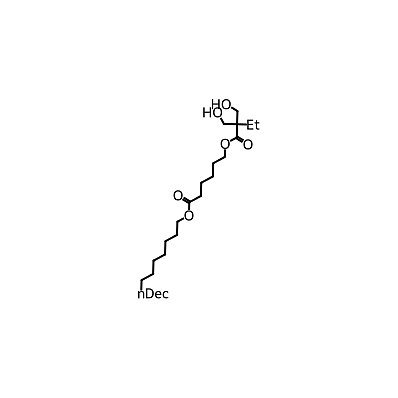 CCCCCCCCCCCCCCCCCOC(=O)CCCCCOC(=O)C(CC)(CO)CO